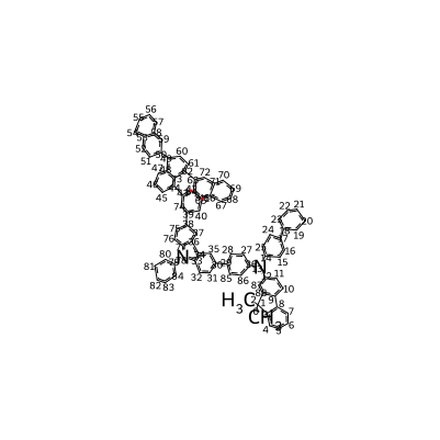 CC1(C)c2ccccc2-c2ccc(N(c3ccc(-c4ccccc4)cc3)c3ccc(-c4ccc5c(c4)c4cc(-c6cccc(-c7cccc8c(-c9ccc%10ccccc%10c9)ccc(-c9ccc%10ccccc%10c9)c78)c6)ccc4n5-c4ccccc4)cc3)cc21